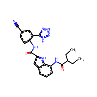 CCC(CC)C(=O)Nc1cccc2cc(C(=O)Nc3ccc(C#N)cc3-c3nnn[nH]3)[nH]c12